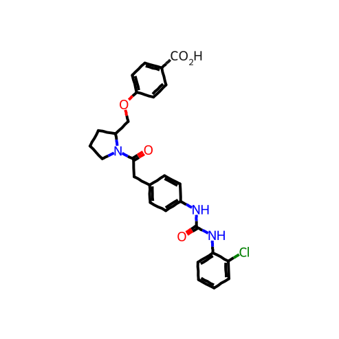 O=C(Nc1ccc(CC(=O)N2CCCC2COc2ccc(C(=O)O)cc2)cc1)Nc1ccccc1Cl